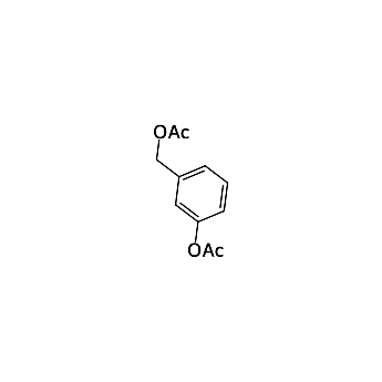 CC(=O)OCc1cccc(OC(C)=O)c1